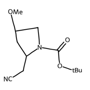 COC1CC(CC#N)N(C(=O)OC(C)(C)C)C1